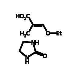 CCOC=C(C)C(=O)O.O=C1NCCN1